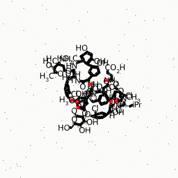 CC(C)C[C@H](C(=O)N[C@H]1C(=O)N[C@@H](CC(N)=O)C(=O)N[C@H]2C(=O)N[C@H]3C(=O)N[C@H](C(=O)N[C@H](C(=O)O)c4cc(O)cc(O)c4-c4cc3ccc4O)[C@H](O[C@H]3C[C@](C)(N)[C@@H](O)[C@H](C)O3)c3ccc(c(Cl)c3)Oc3cc2cc(c3O[C@@H]2O[C@H](CO)[C@@H](O)[C@H](O)[C@H]2O[C@H]2C[C@](C)(NCc3ccc(-c4ccc(Cl)cc4)cc3)[C@@H](O)[C@H](C)O2)Oc2ccc(cc2Cl)[C@H]1O)N(C)C(=O)OCOC(=O)CCC(=O)O